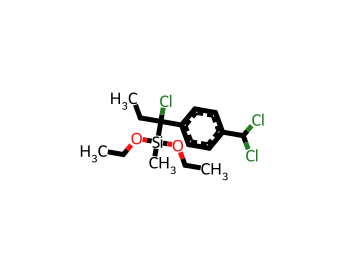 CCO[Si](C)(OCC)C(Cl)(CC)c1ccc(C(Cl)Cl)cc1